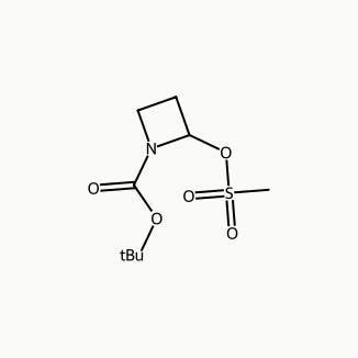 CC(C)(C)OC(=O)N1CCC1OS(C)(=O)=O